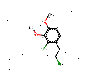 COc1ccc(CCBr)c(Cl)c1OC